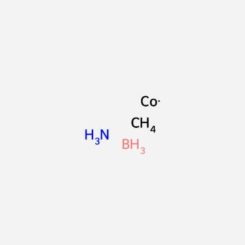 B.C.N.[Co]